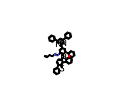 C=CCC/C=C/c1cc(-c2nc(-c3ccccc3)cc(-c3ccccc3)n2)cc(-c2ccccc2)c1-n1c2ccccc2c2c3sc4ccccc4c3ccc21